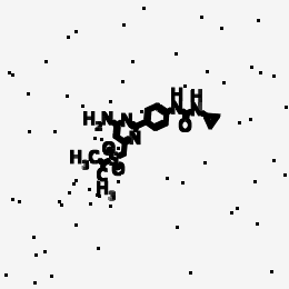 CC(C)S(=O)(=O)Cc1cc(N)nc(-c2ccc(NC(=O)NC3CC3)cc2)n1